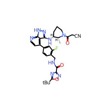 C[C@@H]1[C@H](Nc2n[nH]c3nccc(-c4ccc(CNC(=O)c5noc(C(C)(C)C)n5)c(F)c4)c23)CCCN1C(=O)CC#N